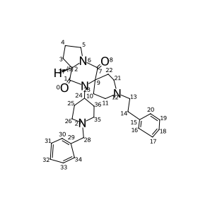 O=C1[C@@H]2CCCN2C(=O)C2(CCN(CCc3ccccc3)CC2)N1C1CCN(Cc2ccccc2)CC1